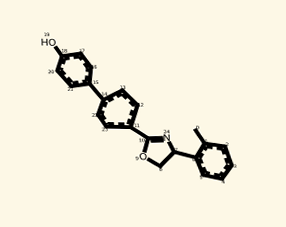 Cc1ccccc1C1COC(c2ccc(-c3ccc(O)cc3)cc2)=N1